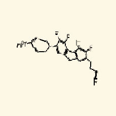 CCCC1CCC(c2cc3c(c(F)c2F)-c2c(cc(CCCF)c(F)c2F)C3)CC1